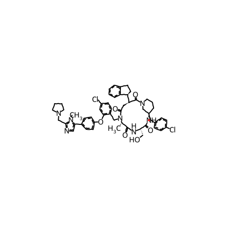 C[C@H]1C(=O)N[C@@H](CO)C(=O)N[C@@]2(Cc3ccc(Cl)cc3)CCCN(C2)C(=O)[C@H]([C@@H]2CCc3ccccc32)CC(=O)N1Cc1ccc(Cl)cc1Oc1ccc(-c2cnc(CN3CCCC3)n2C)cc1